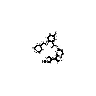 CC(Nc1ccn2ncc(-c3cn[nH]c3)c2n1)c1cc(F)ccc1OCC1CCOCC1